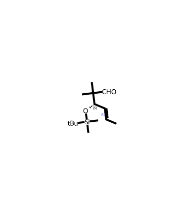 C/C=C/[C@H](O[Si](C)(C)C(C)(C)C)C(C)(C)C=O